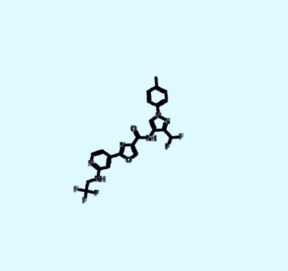 Cc1ccc(-n2cc(NC(=O)c3coc(-c4ccnc(NCC(F)(F)F)c4)n3)c(C(F)F)n2)cc1